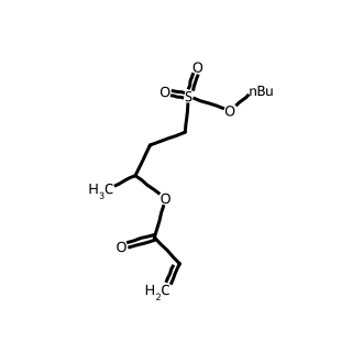 C=CC(=O)OC(C)CCS(=O)(=O)OCCCC